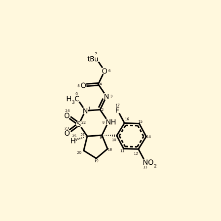 CN1/C(=N\C(=O)OC(C)(C)C)N[C@@]2(c3cc([N+](=O)[O-])ccc3F)CCC[C@H]2S1(=O)=O